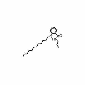 CCCCCCCCCCCCOc1ccccc1C(=O)NCCC